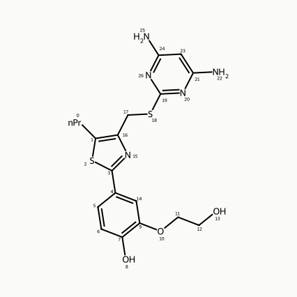 CCCc1sc(-c2ccc(O)c(OCCO)c2)nc1CSc1nc(N)cc(N)n1